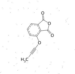 CC#COc1cccc2c1C(=O)OC2=O